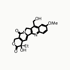 CC[C@@]1(O)C(=O)OCc2c1cc1n(c2=O)Cc2c-1nc1ccc(OC)cc1c2CO